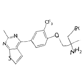 Cc1nc(-c2ccc(OCC(C)(N)CC(C)C)c(C(F)(F)F)c2)c2ccsc2n1